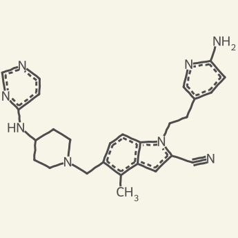 Cc1c(CN2CCC(Nc3ccncn3)CC2)ccc2c1cc(C#N)n2CCc1ccc(N)nc1